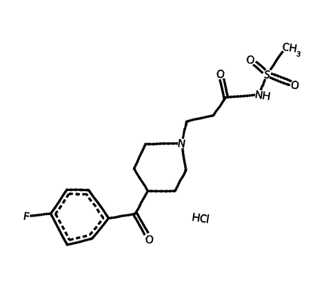 CS(=O)(=O)NC(=O)CCN1CCC(C(=O)c2ccc(F)cc2)CC1.Cl